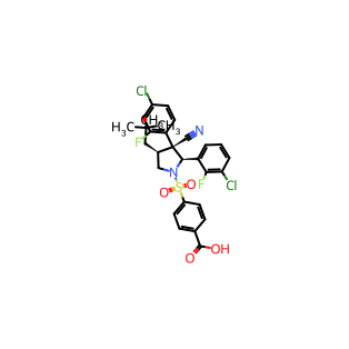 CC(C)(C)C[C@@H]1CN(S(=O)(=O)c2ccc(C(=O)O)cc2)[C@H](c2cccc(Cl)c2F)[C@@]1(C#N)c1ccc(Cl)cc1F